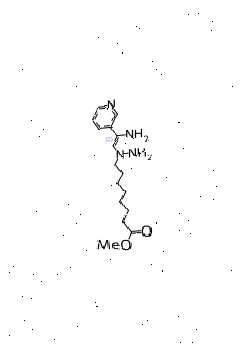 COC(=O)CCCCCCCN(N)/C=C(\N)c1cccnc1